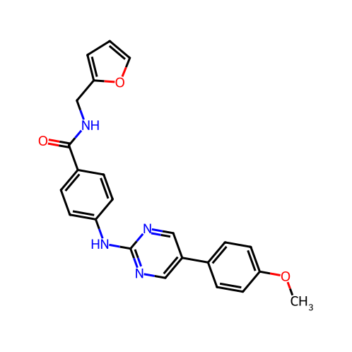 COc1ccc(-c2cnc(Nc3ccc(C(=O)NCc4ccco4)cc3)nc2)cc1